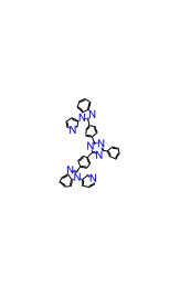 c1ccc(-c2nc(-c3ccc(-c4nc5ccccc5n4-c4cccnc4)cc3)nc(-c3ccc(-c4nc5ccccc5n4-c4cccnc4)cc3)n2)cc1